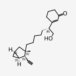 C#C[C@H]1[C@H]2C[C@H]2C[C@]1(C)CCCCC[C@@H](CO)C1=CC(=O)CCC1